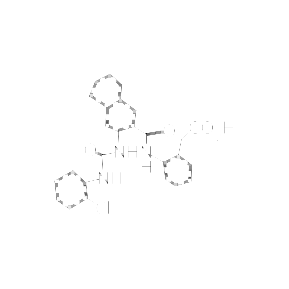 O=C(O)Cc1ccccc1NC(=O)c1cc2ccccc2cc1NC(=O)Nc1ccccc1Cl